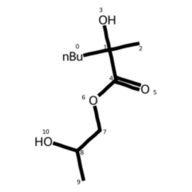 CCCCC(C)(O)C(=O)OCC(C)O